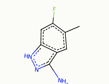 Cc1cc2c(N)n[nH]c2cc1F